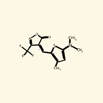 Cc1cc(N(C)C)sc1/C=C1\C(=O)ON=C1C(F)(F)F